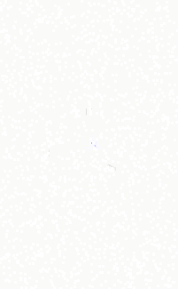 C=CCN(CC=C)C(CC)C[SiH3]